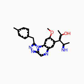 COc1cc2c(cc1/C(C(C)=N)=C(\C)O)ncc1nnc(Cc3ccc(C)cc3)n12